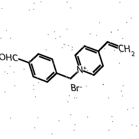 C=Cc1cc[n+](Cc2ccc(C=O)cc2)cc1.[Br-]